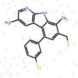 Cc1cnc2[nH]c3c(C)c(CF)cc(-c4cccc(S)c4)c3c2c1